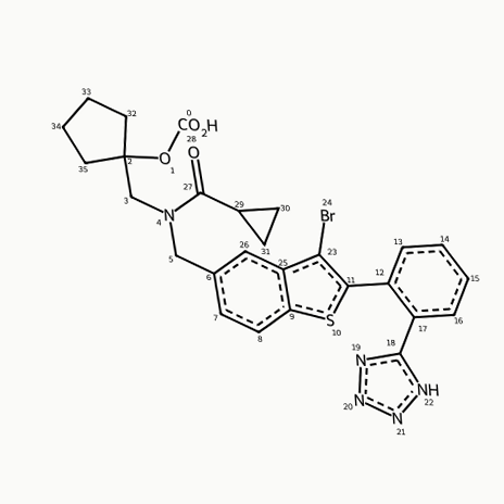 O=C(O)OC1(CN(Cc2ccc3sc(-c4ccccc4-c4nnn[nH]4)c(Br)c3c2)C(=O)C2CC2)CCCC1